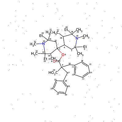 CCC1(C)CC(C2(OC(=O)C(Cc3ccccc3)(Cc3ccccc3)C(=O)O)CC(C)(CC)N(C)C(C)(CC)C2C)C(C)C(C)(CC)N1C